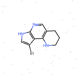 CCc1c[nH]c2ncc3c(c12)NCCC3